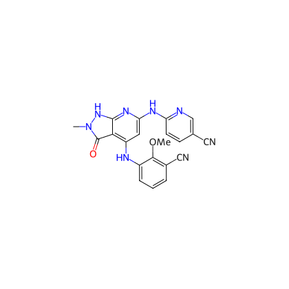 COc1c(C#N)cccc1Nc1cc(Nc2ccc(C#N)cn2)nc2[nH]n(C)c(=O)c12